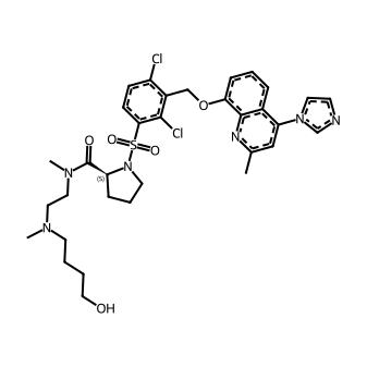 Cc1cc(-n2ccnc2)c2cccc(OCc3c(Cl)ccc(S(=O)(=O)N4CCC[C@H]4C(=O)N(C)CCN(C)CCCCO)c3Cl)c2n1